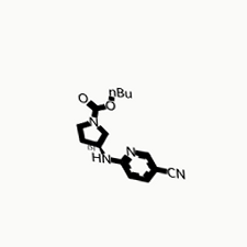 CCCCOC(=O)N1CC[C@H](Nc2ccc(C#N)cn2)C1